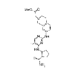 COC(=O)CN1CCc2ccc(Nc3ncc(F)c(NC4CCCC4C(N)=O)n3)cc2C1